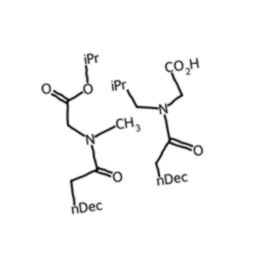 CCCCCCCCCCCC(=O)N(C)CC(=O)OC(C)C.CCCCCCCCCCCC(=O)N(CC(=O)O)CC(C)C